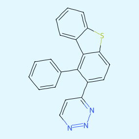 c1ccc(-c2c(-c3ccnnn3)ccc3sc4ccccc4c23)cc1